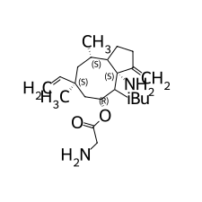 C=C[C@@]1(C)C[C@H](C)C2CCC(=C)[C@@]2(N)C(C(C)CC)[C@H](OC(=O)CN)C1